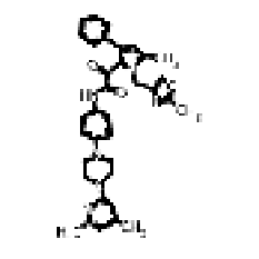 Cc1cc(C)nc(N2CCN(c3ccc(NC(=O)C(=O)c4c(-c5ccccc5)cc(C)n4Cc4coc(C)n4)cc3)CC2)c1